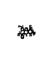 CCOC(=O)C(Cc1cc(F)cc(F)c1)C(=O)CC